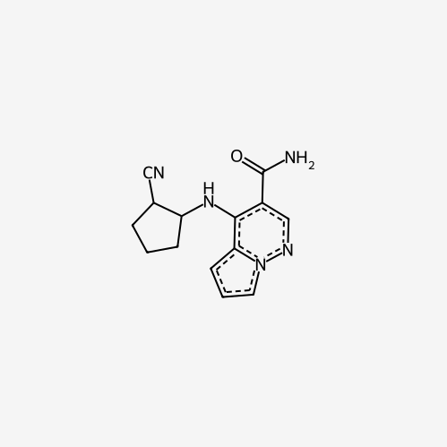 N#CC1CCCC1Nc1c(C(N)=O)cnn2cccc12